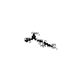 N=C(N)NCCC[C@H](N)C(=O)NCC(=O)NCSCC1CC(C(N)=O)CC1CNC(=O)[C@@H]1CCON1